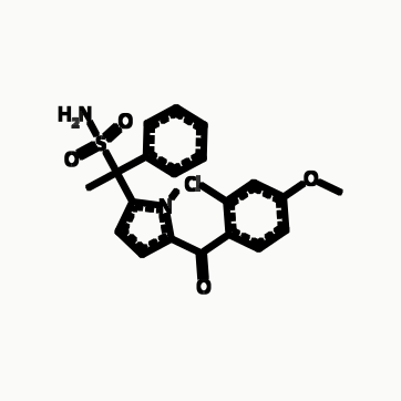 COc1ccc(C(=O)c2ccc(C(C)(c3ccccc3)S(N)(=O)=O)n2C)c(Cl)c1